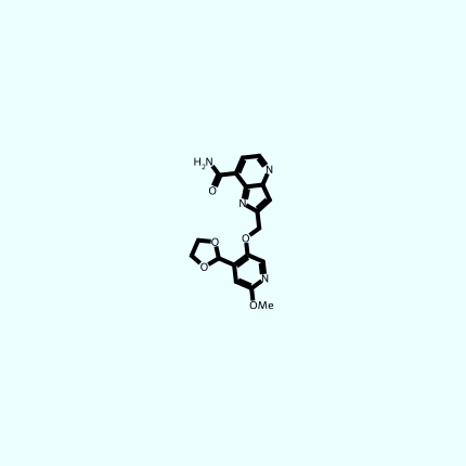 COc1cc(C2OCCO2)c(OCC2=CC3N=CC=C(C(N)=O)C3=N2)cn1